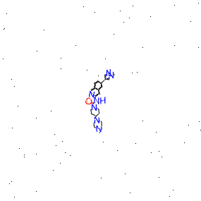 CN1CCN(C2CCN(C(=O)Nc3cc4cc(-c5cnn(C)c5)ccc4cn3)CC2)CC1